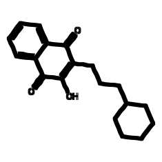 O=C1C(O)=C(CCCC2CCCCC2)C(=O)c2ccccc21